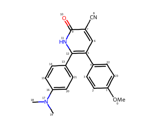 COc1ccc(-c2cc(C#N)c(=O)[nH]c2-c2ccc(N(C)C)cc2)cc1